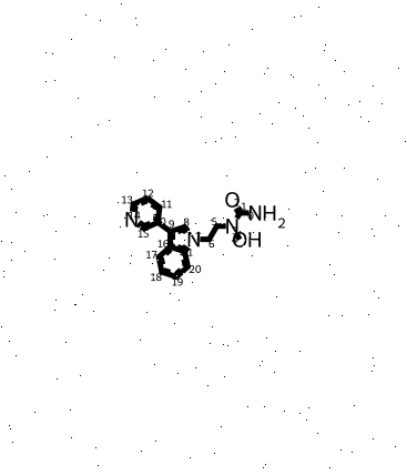 NC(=O)N(O)CCn1cc(-c2cccnc2)c2ccccc21